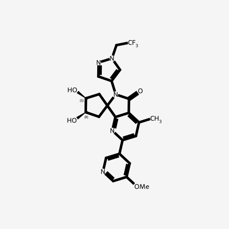 COc1cncc(-c2cc(C)c3c(n2)C2(C[C@@H](O)[C@@H](O)C2)N(c2cnn(CC(F)(F)F)c2)C3=O)c1